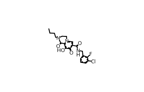 CCCCN1CCn2cc(C(=O)NCc3cccc(Cl)c3F)c(=O)c(O)c2C1=O